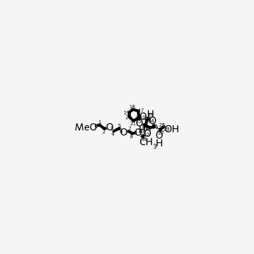 COCCOCCOCCOC(C)O[C@@H]1[C@H]2OC3(CCCCC3)O[C@H]2O[C@@H]1C(O)CO